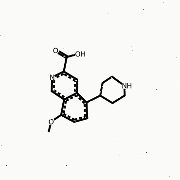 COc1ccc(C2CCNCC2)c2cc(C(=O)O)ncc12